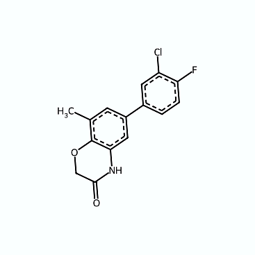 Cc1cc(-c2ccc(F)c(Cl)c2)cc2c1OCC(=O)N2